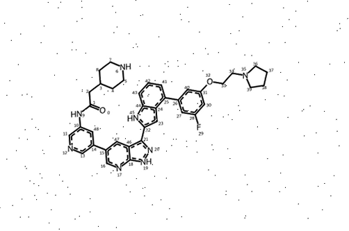 O=C(CC1CCNCC1)Nc1cncc(-c2cnc3[nH]nc(-c4cc5c(-c6cc(F)cc(OCCN7CCCC7)c6)cccc5[nH]4)c3c2)c1